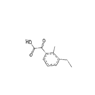 CCc1cccc(C(=O)C(=O)O)c1C